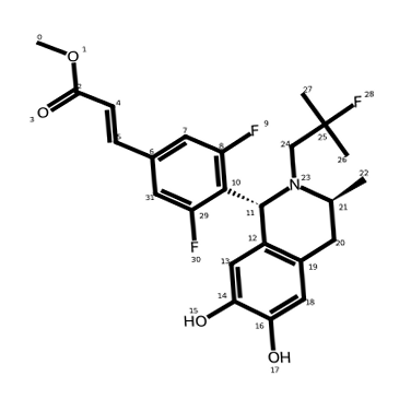 COC(=O)/C=C/c1cc(F)c([C@H]2c3cc(O)c(O)cc3C[C@H](C)N2CC(C)(C)F)c(F)c1